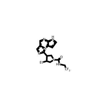 CCC1CN(C(=O)NCC(F)(F)F)CC1c1ncc2cnc3[nH]ccc3n12